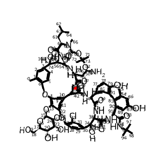 Cc1cc2ccc1Oc1cc3cc(c1O[C@@H]1O[C@H](CO)[C@@H](O)[C@H](O)[C@H]1O)Oc1ccc(cc1Cl)[C@@H](O)[C@@H]1NC(=O)[C@H](NC(=O)[C@@H]3NC(=O)[C@H](CC(N)=O)NC(=O)[C@H](NC(=O)[C@@H](CC(C)C)N(C)C(=O)OC(C)(C)C)[C@@H]2O)c2ccc(O)c(c2)-c2c(C)cc(O)cc2[C@@H](C(=O)NC(C)(C)C)NC1=O